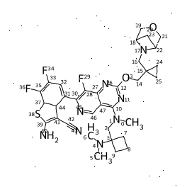 CN(CC1(N(C)C)CCC1)c1nc(OCC2(CN3C4COCC3C4)CC2)nc2c(F)c(C3=CC(F)=C(F)C4SC(N)=C(C#N)C34)ncc12